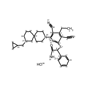 CCc1c(C#N)c(SC(C(N)=O)c2ccccc2)nc(N2CCC3(CCCN(CC4CC4)C3)CC2)c1C#N.Cl